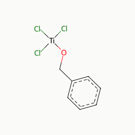 [Cl][Ti]([Cl])([Cl])[O]Cc1ccccc1